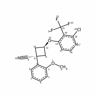 COc1ccccc1[C@]1(C#N)C[C@H](Oc2ccnc(Cl)c2C(F)(F)F)C1